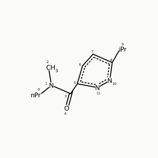 CCCN(C)C(=O)c1ccc(C(C)C)nn1